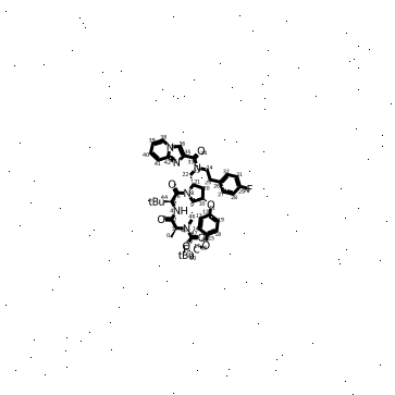 C[C@@H](C(=O)N[C@H](C(=O)N1C[C@@H](Oc2ccc(OC(F)(F)F)cc2)C[C@H]1CN(CCc1ccc(F)cc1)C(=O)c1cn2ccccc2n1)C(C)(C)C)N(C)C(=O)OC(C)(C)C